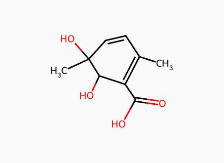 CC1=C(C(=O)O)C(O)C(C)(O)C=C1